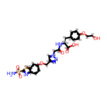 NS(=O)(=O)c1nc2ccc(OCc3cn(CC(=O)N[C@@H](Cc4ccc(OCCO)cc4)C(=O)O)nn3)cc2s1